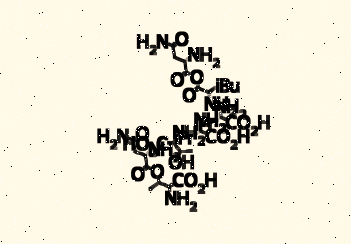 CC(C)[C@H](N)C(=O)O.CC(C)[C@H](N)C(=O)O.CC[C@H](C)[C@H](N)C(=O)OC(=O)[C@@H](N)CC(N)=O.C[C@@H](O)[C@H](N)C(=O)O.C[C@@H](OC(=O)[C@@H](N)CC(N)=O)[C@H](N)C(=O)O